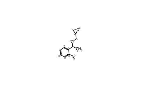 CC(OCC1CO1)c1ccccc1Br